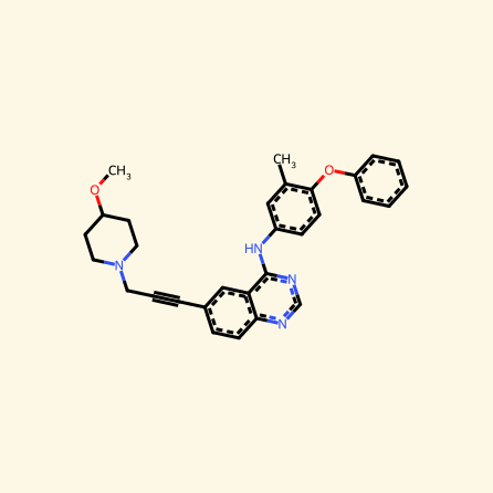 COC1CCN(CC#Cc2ccc3ncnc(Nc4ccc(Oc5ccccc5)c(C)c4)c3c2)CC1